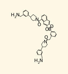 NCc1cccc(C2CCN(C(=O)Cc3cccc(B4Oc5cc6cccc(C(=O)N7CCC(c8cccc(CN)c8)CC7)c6cc5O4)c3)CC2)c1